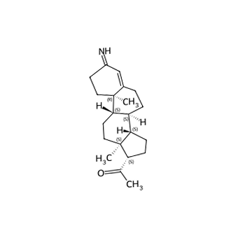 CC(=O)[C@H]1CC[C@H]2[C@@H]3CCC4=CC(=N)CC[C@]4(C)[C@H]3CC[C@]12C